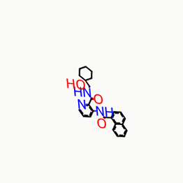 O=C(NCC1(O)CCCCC1)c1ncccc1NC(=O)c1cccc2ccccc12